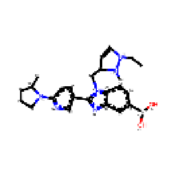 CCN1C=CC(Cn2c(-c3ccc(N4CCCC4C)nc3)nc3cc(B(O)O)ccc32)N1C